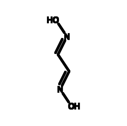 ON=CC=NO